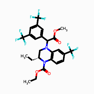 CCOC(=O)N1c2ccc(C(F)(F)F)cc2N(C(C(=O)OC)c2cc(C(F)(F)F)cc(C(F)(F)F)c2)C[C@H]1CC